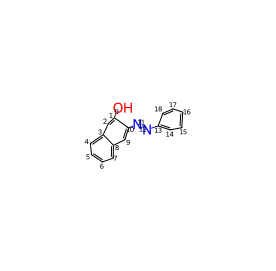 Oc1cc2ccccc2cc1N=Nc1ccccc1